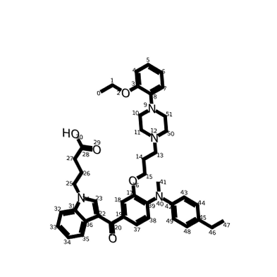 CCOc1ccccc1N1CCN(CCCOc2cc(C(=O)c3cn(CCCC(=O)O)c4ccccc34)ccc2N(C)c2ccc(CC)cc2)CC1